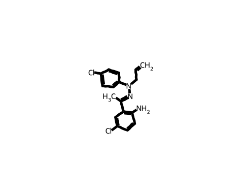 C=CCN(/N=C(\C)c1cc(Cl)ccc1N)c1ccc(Cl)cc1